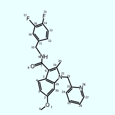 COc1ccc2c(C(=O)NCc3ccc(F)c(F)c3)c(C)n(Cc3ccccn3)c2c1